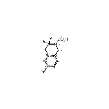 CC1(C)Cc2cc(Br)ccc2CN1C(=O)O